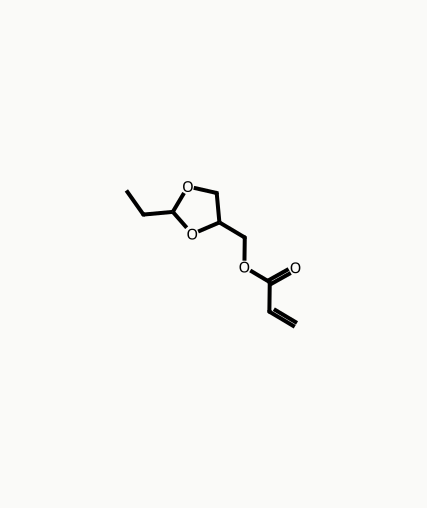 C=CC(=O)OCC1COC(CC)O1